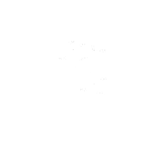 CNc1cc(C(C)(C)C)ccc1C(C)(C)C